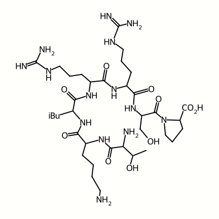 CCC(C)C(NC(=O)C(CCCCN)NC(=O)C(N)C(C)O)C(=O)NC(CCCNC(=N)N)C(=O)NC(CCCNC(=N)N)C(=O)NC(CO)C(=O)N1CCCC1C(=O)O